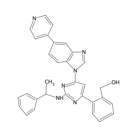 CC(Nc1nc(-c2ccccc2CO)cc(-n2cnc3cc(-c4ccncc4)ccc32)n1)c1ccccc1